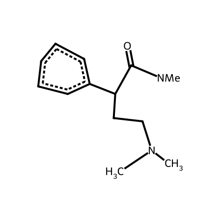 CNC(=O)C(CCN(C)C)c1ccccc1